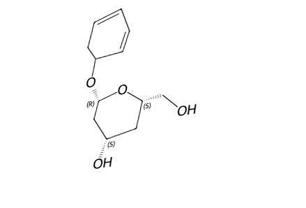 OC[C@@H]1C[C@H](O)C[C@H](OC2C=CC=CC2)O1